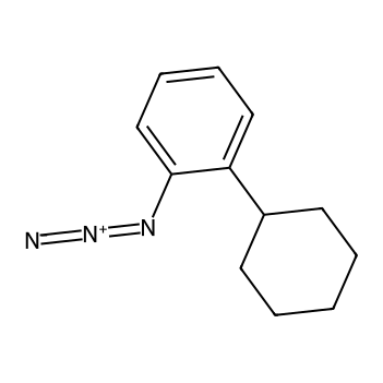 [N-]=[N+]=Nc1ccccc1C1CCCCC1